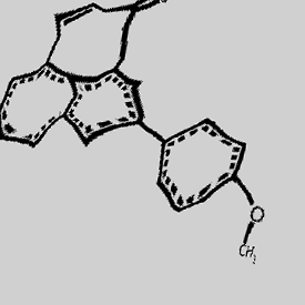 COc1ccc(-c2cc3c4c(cccc4c2)C=CC3=O)cc1